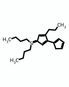 CCCC[Si](CCCC)=C1[C]=C(C2=CC=CC2)C(CCC)=C1